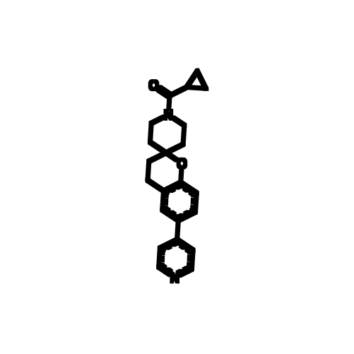 O=C(C1CC1)N1CCC2(CCc3cc(-c4ccncc4)ccc3O2)CC1